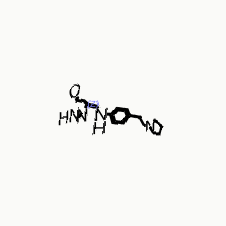 N=N/C(=C\Nc1ccc(CCN2CCCC2)cc1)CC=O